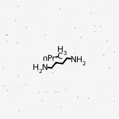 CCCC.NCCCCN